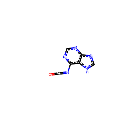 O=C=Nc1ncnc2nc[nH]c12